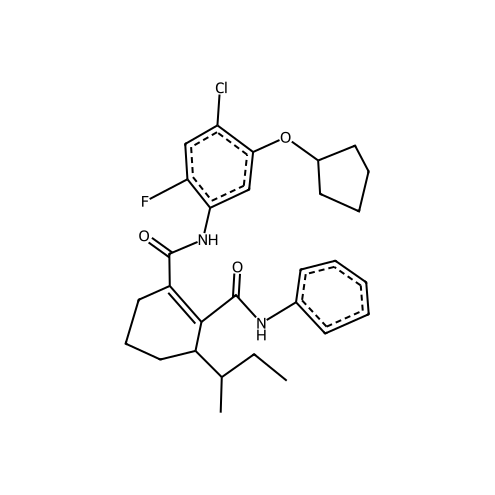 CCC(C)C1CCCC(C(=O)Nc2cc(OC3CCCC3)c(Cl)cc2F)=C1C(=O)Nc1ccccc1